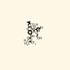 CCn1cc(S(=O)(=O)N2C[C@H](CC3(C(=O)O)CC3)Oc3ccc(NC(=O)OC(C)(C)C(F)(F)F)cc32)c(OCCO)n1